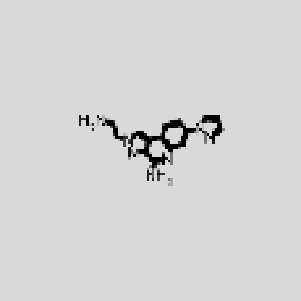 NCCn1cc2c(n1)c(N)nc1cc(-n3cccn3)ccc12